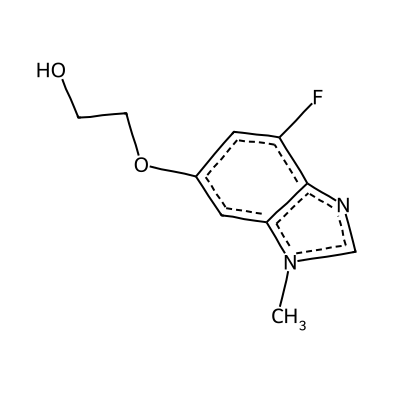 Cn1cnc2c(F)cc(OCCO)cc21